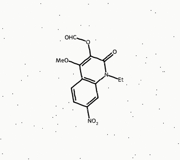 CCn1c(=O)c(OC=O)c(OC)c2ccc([N+](=O)[O-])cc21